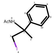 CC(=O)NC(C)(CI)c1ccccc1